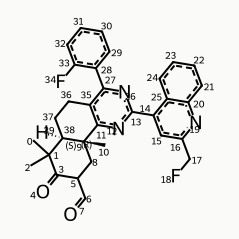 CC1(C)C(=O)C(C=O)C[C@@]2(C)c3nc(-c4cc(CF)nc5ccccc45)nc(-c4ccccc4F)c3CC[C@H]12